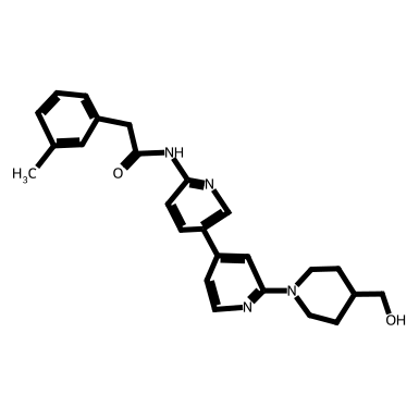 Cc1cccc(CC(=O)Nc2ccc(-c3ccnc(N4CCC(CO)CC4)c3)cn2)c1